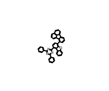 c1ccc(-c2nc(-c3ccccc3)nc(-c3ccc(-c4cccc5c4-c4cccc6cccc-5c46)c4oc5ccccc5c34)n2)cc1